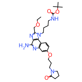 CCOCc1nc2c(N)nc3cc(OCCCN4CCCC4=O)ccc3c2n1CCCCNC(=O)OC(C)(C)C